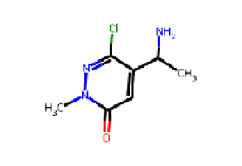 CC(N)c1cc(=O)n(C)nc1Cl